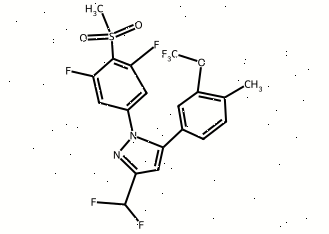 Cc1ccc(-c2cc(C(F)F)nn2-c2cc(F)c(S(C)(=O)=O)c(F)c2)cc1OC(F)(F)F